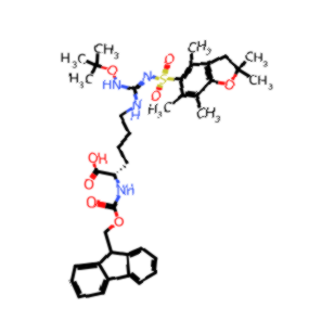 Cc1c(C)c(S(=O)(=O)/N=C(\NCCCC[C@H](NC(=O)OCC2c3ccccc3-c3ccccc32)C(=O)O)NOC(C)(C)C)c(C)c2c1OC(C)(C)C2